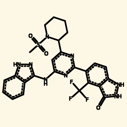 CS(=O)(=O)N1CCCCC1c1cc(Nc2n[nH]c3ccccc23)nc(-c2ccc3[nH][nH]c(=O)c3c2C(F)(F)F)n1